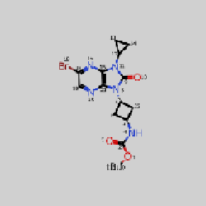 CC(C)(C)OC(=O)N[C@H]1C[C@H](n2c(=O)n(C3CC3)c3nc(Br)cnc32)C1